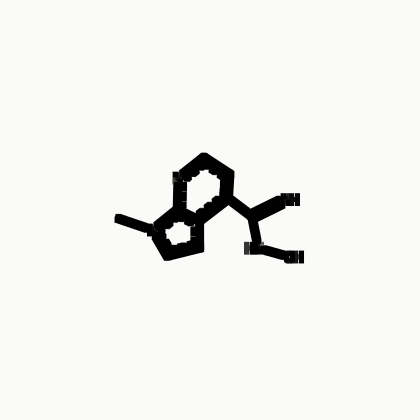 Cn1ccc2c(C(=N)NO)ccnc21